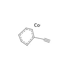 C#Cc1ccccc1.[Co]